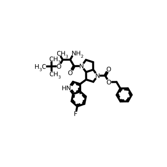 CC(OC(C)(C)C)C(N)C(=O)N1CCC2C1C(c1c[nH]c3cc(F)ccc13)CN2C(=O)OCc1ccccc1